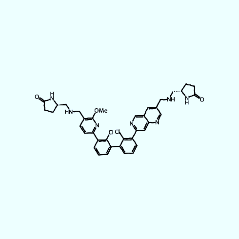 COc1nc(-c2cccc(-c3cccc(-c4cc5ncc(CNC[C@@H]6CCC(=O)N6)cc5cn4)c3Cl)c2Cl)ccc1CNC[C@H]1CCC(=O)N1